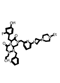 C=CCN1CC(=O)N2C(Cc3ccc(O)cc3F)C(=O)N(Cc3cccc(N4CC(N5CCN(CC)CC5)C4)n3)CC2N1Cc1ccccc1